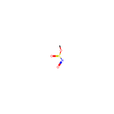 COS(=O)N=O